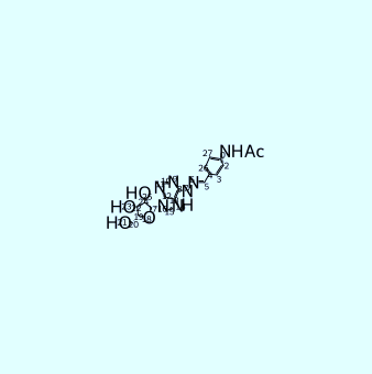 CC(=O)Nc1ccc(/C=N/Nc2ncnc3c2ncn3[C@@H]2O[C@H](CO)[C@@H](O)[C@H]2O)cc1